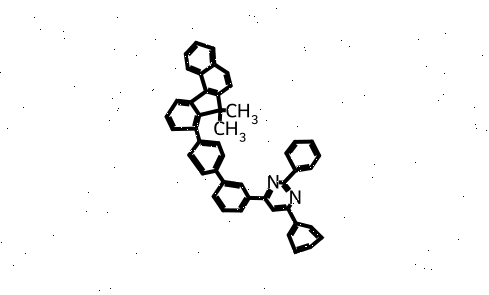 CC1(C)c2ccc3ccccc3c2-c2cccc(-c3ccc(-c4cccc(-c5cc(-c6ccccc6)nc(-c6ccccc6)n5)c4)cc3)c21